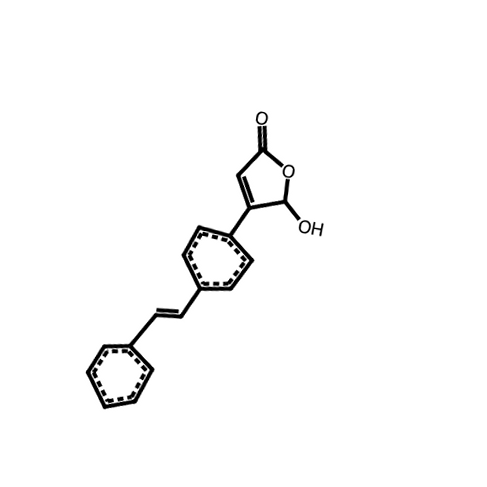 O=C1C=C(c2ccc(/C=C/c3ccccc3)cc2)C(O)O1